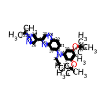 C#CCN(c1cc(OC(C)(C)C)cc(OC(C)(C)C)c1)c1ccc2ncc(-c3cnn(C(C)C)c3)nc2c1